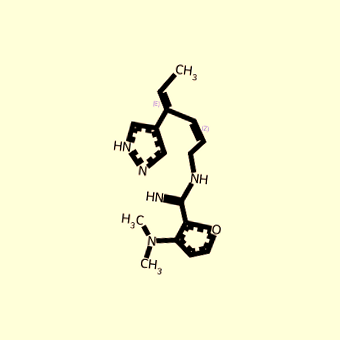 C/C=C(\C=C/CNC(=N)c1occc1N(C)C)c1cn[nH]c1